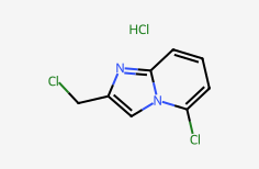 Cl.ClCc1cn2c(Cl)cccc2n1